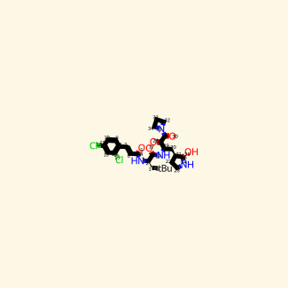 CC(C)(C)C[C@H](NC(=O)/C=C/c1ccc(Cl)cc1Cl)C(=O)NC(C[C@@H]1CCNC1O)C(=O)C(=O)N1CCC1